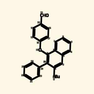 CCCCc1cc2ccccc2c(Oc2ccc(C=O)cc2)c1-c1ccccc1